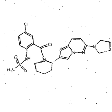 CS(=O)(=O)Nc1ccc(Cl)cc1C(=O)N1CCCC[C@H]1c1cn2nc(N3CCCC3)ccc2n1